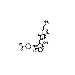 CC(=O)N[C@@H](CCCCN)C(=O)NCC(CC1(C(=O)N[C@H]2CC[C@@H](C(=O)O)CC2)CCCC1)C(=O)O